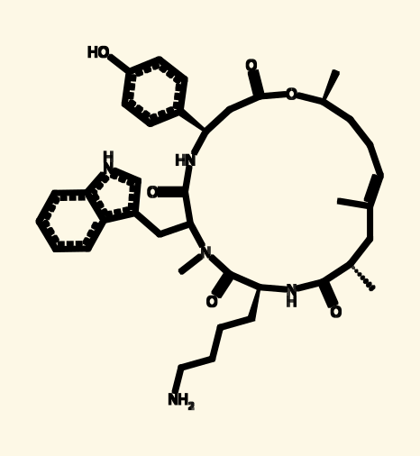 C/C1=C\CC[C@H](C)OC(=O)C[C@H](c2ccc(O)cc2)NC(=O)C(Cc2c[nH]c3ccccc23)N(C)C(=O)[C@H](CCCCN)NC(=O)[C@@H](C)C1